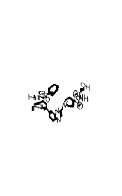 O=S(=O)(Nc1cncc(-c2ccc3ncc(N4CCC(S(=O)(=O)NCCO)CC4)nc3c2)c1)c1ccccc1